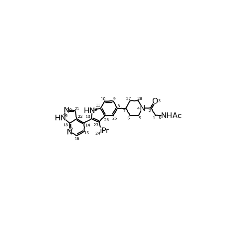 CC(=O)NCC(=O)N1CCC(c2ccc3[nH]c(-c4ccnc5[nH]ncc45)c(C(C)C)c3c2)CC1